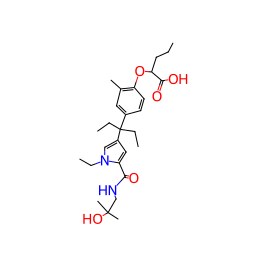 CCCC(Oc1ccc(C(CC)(CC)c2cc(C(=O)NCC(C)(C)O)n(CC)c2)cc1C)C(=O)O